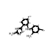 Cc1cc(I)ccc1Nc1cc(F)ccc1-c1nnc(N)[nH]1